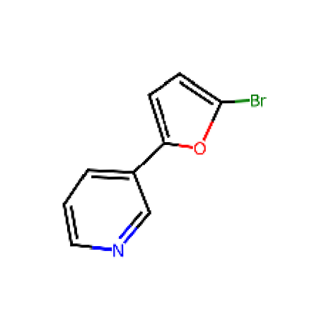 Brc1ccc(-c2cccnc2)o1